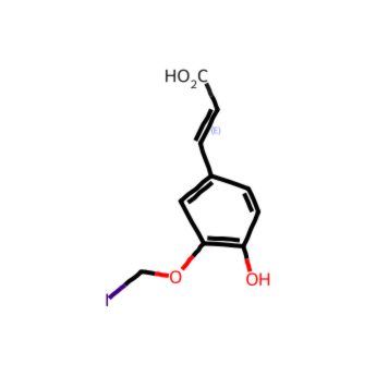 O=C(O)/C=C/c1ccc(O)c(OCI)c1